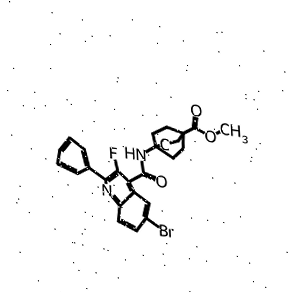 COC(=O)C12CCC(NC(=O)c3c(F)c(-c4ccccc4)nc4ccc(Br)cc34)(CC1)CC2